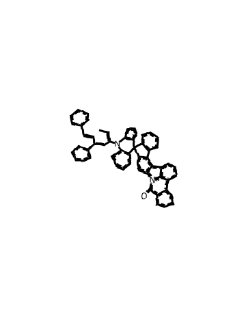 C\C=C(/C=C(\C=C\c1ccccc1)c1ccccc1)N1c2ccccc2C2(c3ccccc3-c3c2ccc2c3c3cccc4c5ccccc5c(=O)n2c43)c2ccccc21